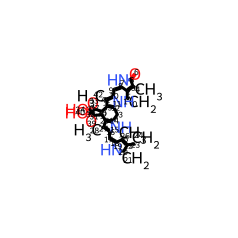 C=CC1=C(C)C(=O)N/C1=C/c1[nH]c(Cc2[nH]c(/C=c3/[nH]c(=C)c(C=C)c3C)c(C)c2CCC(=O)O)c(CCC(=O)O)c1C